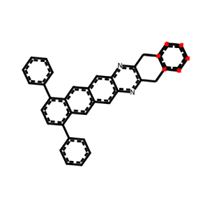 c1ccc(-c2ccc(-c3ccccc3)c3cc4cc5nc6c(nc5cc4cc23)C2c3ccccc3C6c3ccccc32)cc1